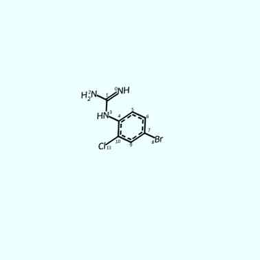 N=C(N)Nc1ccc(Br)cc1Cl